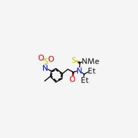 CCC(CC)N(C(=O)Cc1ccc(C)c(N=S(=O)=O)c1)C(=S)NC